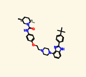 C[C@H]1CC[C@H](C)N(C(=O)Nc2ccc(OCCN3CCN(c4cccc5[nH]c(-c6ccc(C(C)(C)C)cc6)nc45)CC3)cc2)C1